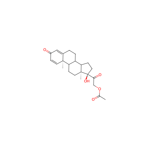 CC(=O)OCC(=O)[C@@]1(O)CCC2C3CCC4=CC(=O)C=C[C@]4(C)C3CC[C@@]21C